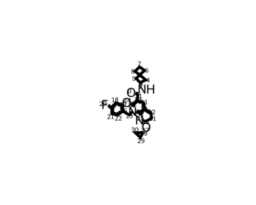 O=C(NC1CC2(CCC2)C1)c1cc2c(n(Cc3ccc(F)cc3)c1=O)=NC(OC1CC1)CC=2